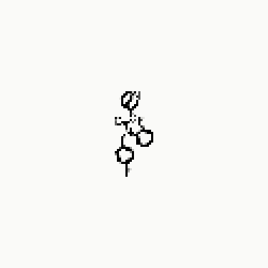 O=C(OC1CN2CCC1CC2)N(Cc1ccc(F)cc1)c1ccccc1F